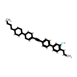 CCCCC1CCC(C2CC=C(C#Cc3ccc(-c4ccc(CCC)c(F)c4)cc3)CC2)CC1